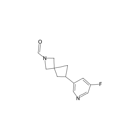 O=CN1CC2(CC(c3cncc(F)c3)C2)C1